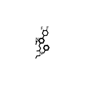 CC#N.CCCN(Cc1ccccc1)C(C)CCc1ccc(C2CCC(F)C(F)C2)cc1